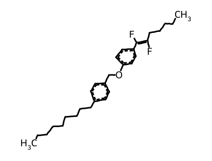 CCCCCCCCCc1ccc(COc2ccc(/C(F)=C(\F)CCCCC)cc2)cc1